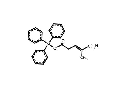 CC(=CCC(=O)O[Si](c1ccccc1)(c1ccccc1)c1ccccc1)C(=O)O